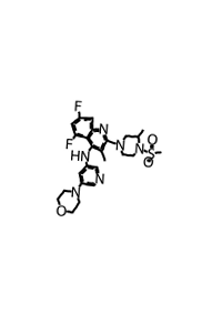 Cc1c(N2CCN(S(C)(=O)=O)C(C)C2)nc2cc(F)cc(F)c2c1Nc1cncc(N2CCOCC2)c1